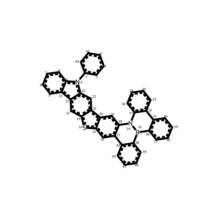 c1ccc(-n2c3ccccc3c3cc4sc5cc6c(cc5c4cc32)N2B(c3ccccc3-c3ccccc32)c2ccccc2-6)cc1